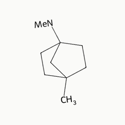 CNC12CCC(C)(CC1)C2